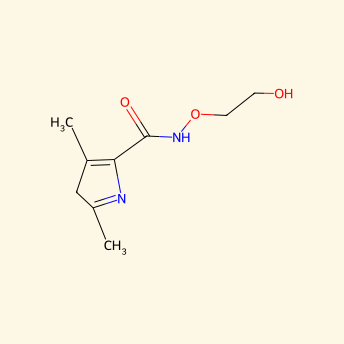 CC1=NC(C(=O)NOCCO)=C(C)C1